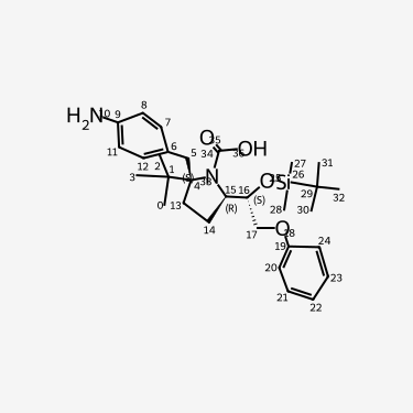 CC(C)(C)[C@@]1(Cc2ccc(N)cc2)CC[C@H]([C@@H](COc2ccccc2)O[Si](C)(C)C(C)(C)C)N1C(=O)O